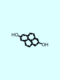 Oc1cc2ccc3cc(O)cc4ccc(c1)c2c34